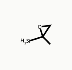 CC1([SiH3])CO1